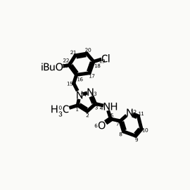 Cc1cc(NC(=O)c2ccccn2)nn1Cc1cc(Cl)ccc1OCC(C)C